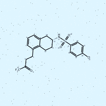 O=C(CCc1cccc2c1CC[C@@H](NS(=O)(=O)c1ccc(Cl)cc1)C2)C(F)(F)F